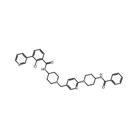 O=C(NC1CCN(c2ccc(CN3CCC(NC(=O)c4cccc(-c5cccnc5)c4Cl)CC3)cn2)CC1)c1ccccc1